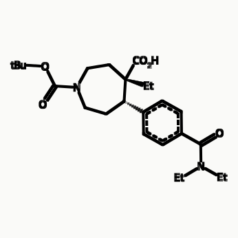 CCN(CC)C(=O)c1ccc([C@@H]2CCN(C(=O)OC(C)(C)C)CC[C@]2(CC)C(=O)O)cc1